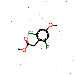 COC(=O)Cc1c(F)cc(OC)cc1F